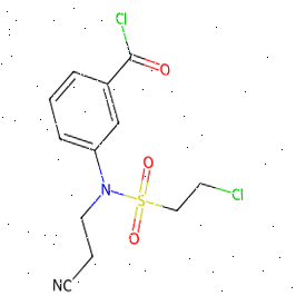 N#CCCN(c1cccc(C(=O)Cl)c1)S(=O)(=O)CCCl